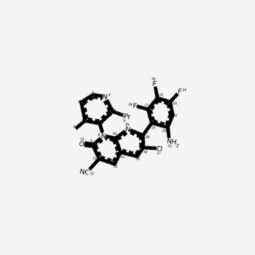 Cc1ccnc(C(C)C)c1-n1c(=O)c(C#N)cc2cc(Cl)c(-c3c(N)cc(F)c(F)c3F)nc21